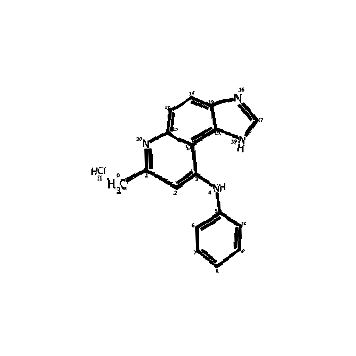 Cc1cc(Nc2ccccc2)c2c(ccc3nc[nH]c32)n1.Cl